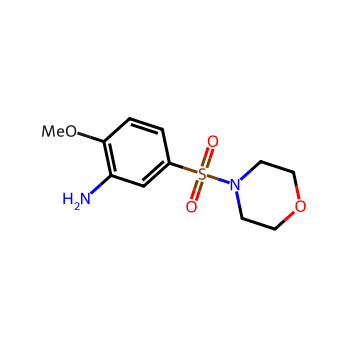 COc1ccc(S(=O)(=O)N2CCOCC2)cc1N